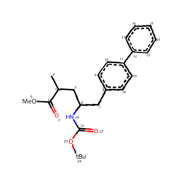 COC(=O)C(C)CC(Cc1ccc(-c2ccccc2)cc1)NC(=O)OC(C)(C)C